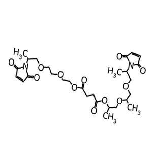 CC(COCC(C)N1C(=O)C=CC1=O)OCC(C)OC(=O)CCC(=O)OCCOCCOCC(C)N1C(=O)C=CC1=O